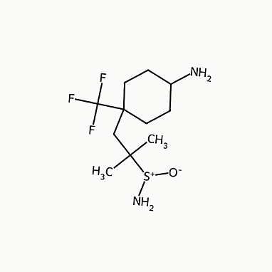 CC(C)(CC1(C(F)(F)F)CCC(N)CC1)[S+](N)[O-]